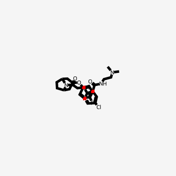 CN(C)CCNC(=O)c1cc(Cl)cnc1NCC(=O)N1C2CCC1CC(Oc1ccc(F)cc1)C2